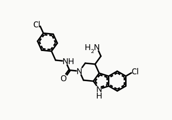 NCC1CN(C(=O)NCc2ccc(Cl)cc2)Cc2[nH]c3ccc(Cl)cc3c21